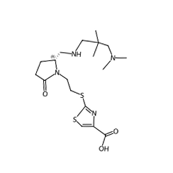 CN(C)CC(C)(C)CNC[C@H]1CCC(=O)N1CCSc1nc(C(=O)O)cs1